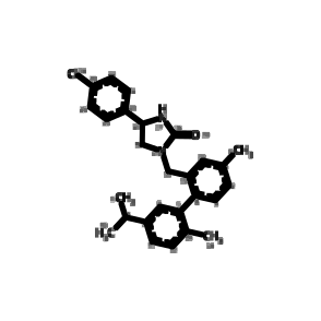 Cc1ccc(-c2cc(C(C)C)ccc2C)c(CN2CC(c3ccc(Cl)cc3)NC2=O)c1